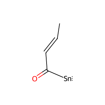 C/C=C/[C](=O)[Sn]